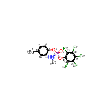 CCNP(=O)(Oc1ccc(C(C)(C)C)cc1)Oc1c(F)c(F)c(F)c(F)c1F